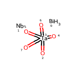 [BiH3].[Nb].[O]=[Ta](=[O])(=[O])(=[O])=[O]